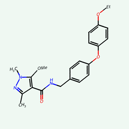 CCOc1ccc(Oc2ccc(CNC(=O)c3c(C)nn(C)c3OC)cc2)cc1